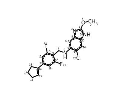 COc1nc2nc(NCc3c(F)cc(C4=CCCC4)cc3F)c(Cl)cc2[nH]1